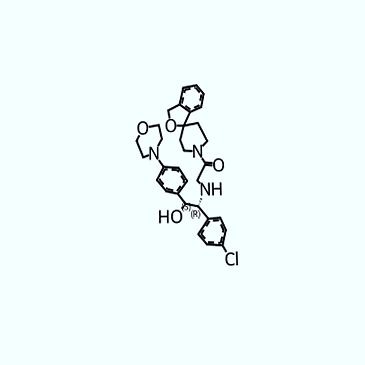 O=C(CN[C@H](c1ccc(Cl)cc1)[C@@H](O)c1ccc(N2CCOCC2)cc1)N1CCC2(CC1)OCc1ccccc12